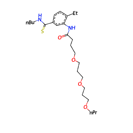 CCCCNC(=S)c1ccc(CC)c(NC(=O)CCCOCCCOCCCOCCC)c1